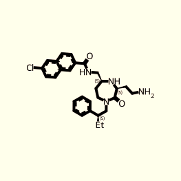 CC[C@H](CN1CC[C@@H](CNC(=O)c2ccc3cc(Cl)ccc3c2)N[C@@H](CCN)C1=O)c1ccccc1